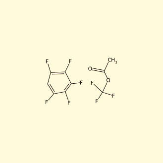 CC(=O)OC(F)(F)F.Fc1cc(F)c(F)c(F)c1F